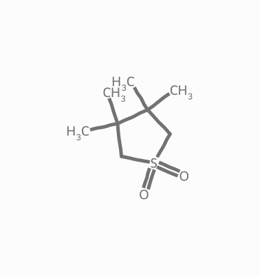 CC1(C)CS(=O)(=O)CC1(C)C